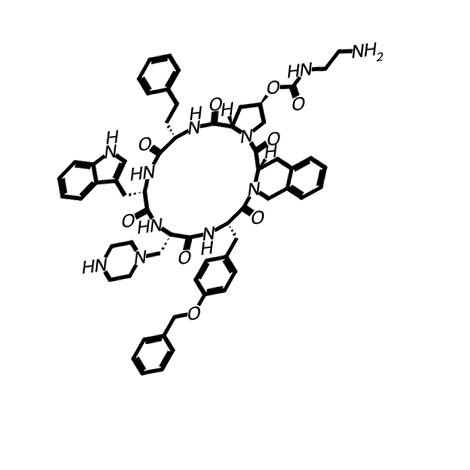 NCCNC(=O)O[C@@H]1C[C@H]2C(=O)N[C@@H](CCc3ccccc3)C(=O)N[C@@H](Cc3c[nH]c4ccccc34)C(=O)N[C@@H](CN3CCNCC3)C(=O)N[C@@H](Cc3ccc(OCc4ccccc4)cc3)C(=O)N3Cc4ccccc4C[C@H]3C(=O)N2C1